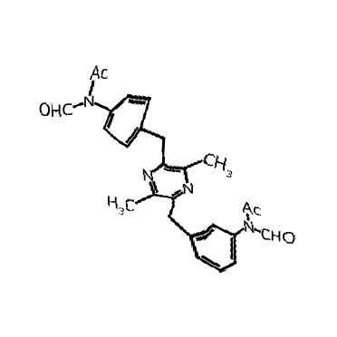 CC(=O)N(C=O)c1ccc(Cc2nc(C)c(Cc3cccc(N(C=O)C(C)=O)c3)nc2C)cc1